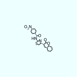 O=C(Nc1nc(-c2cc3ccccc3oc2=O)cs1)c1ccc([N+](=O)[O-])cc1